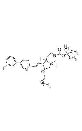 COCOC1C[C@H]2CN(C(=O)OC(C)(C)C)CC[C@H]2[C@@H]1/C=C/c1ccc(-c2cccc(F)c2)cn1